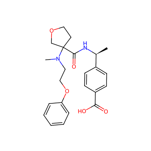 C[C@H](NC(=O)C1(N(C)CCOc2ccccc2)CCOC1)c1ccc(C(=O)O)cc1